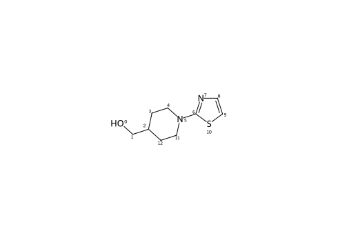 OCC1CCN(c2nccs2)CC1